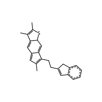 CC1=C(CCC2=Cc3ccccc3C2)C2=CC3SC(C)=C(C)C3=CC2=C1